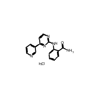 Cl.NC(=O)c1ccccc1Nc1nccc(-c2cccnc2)n1